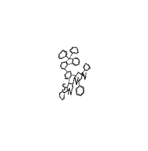 c1ccc(-c2cc(-c3cc(-c4cccc5c4-c4ccccc4C5(c4ccccc4)c4ccccc4)ccc3-c3ccnc4c3sc3ccccc34)nc(-c3ccccc3)n2)cc1